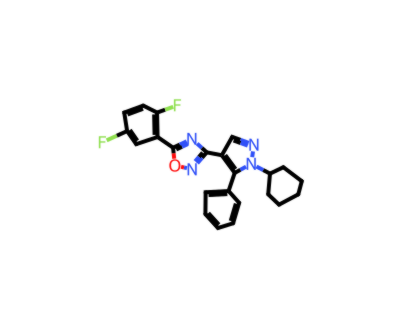 Fc1ccc(F)c(-c2nc(-c3cnn(C4CCCCC4)c3-c3ccccc3)no2)c1